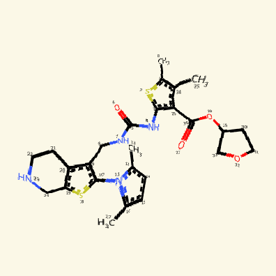 Cc1sc(NC(=O)NCc2c(-n3c(C)ccc3C)sc3c2CCNC3)c(C(=O)OC2CCOC2)c1C